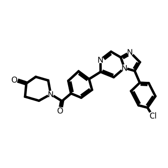 O=C1CCN(C(=O)c2ccc(-c3cn4c(-c5ccc(Cl)cc5)cnc4cn3)cc2)CC1